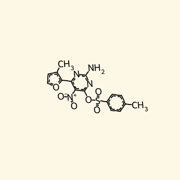 Cc1ccc(S(=O)(=O)Oc2nc(N)nc(-c3occc3C)c2[N+](=O)[O-])cc1